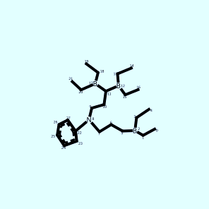 CCB(CC)CCCN(CCC(B(CC)CC)B(CC)CC)c1ccccc1